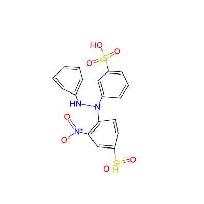 O=[N+]([O-])c1cc([SH](=O)=O)ccc1N(Nc1ccccc1)c1cccc(S(=O)(=O)O)c1